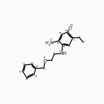 CCc1cc(NCCOCc2ccccc2)c(N)cc1Cl